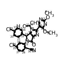 COc1ncc(-c2nc3c(n2C(C)C)C(c2ccc(Cl)cc2)N(c2cc(Cl)ccc2C#N)C3=O)c(OC)n1